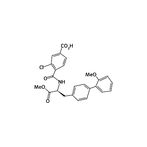 COC(=O)[C@H](Cc1ccc(-c2ccccc2OC)cc1)NC(=O)c1ccc(C(=O)O)cc1Cl